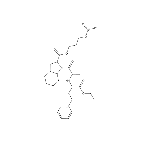 CCOC(=O)C(CCc1ccccc1)NC(C)C(=O)N1C(C(=O)OCCCO[N+](=O)[O-])CC2CCCCC21